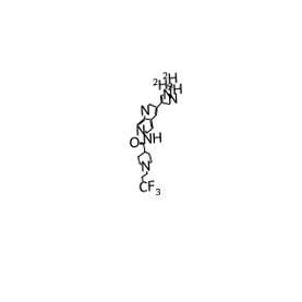 [2H]C([2H])([2H])n1cc(-c2cnc3cnc(NC(=O)C4CCN(CCC(F)(F)F)CC4)cc3c2)cn1